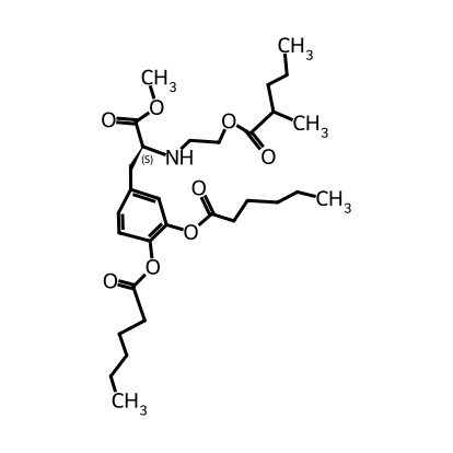 CCCCCC(=O)Oc1ccc(C[C@H](NCCOC(=O)C(C)CCC)C(=O)OC)cc1OC(=O)CCCCC